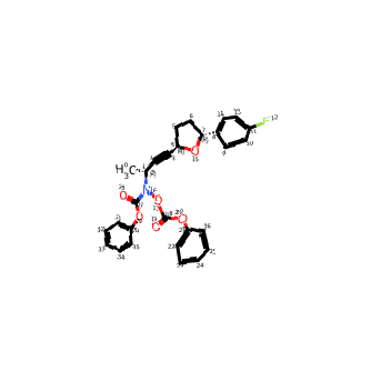 C[C@H](C#C[C@H]1CC[C@H](c2ccc(F)cc2)O1)N(OC(=O)Oc1ccccc1)C(=O)Oc1ccccc1